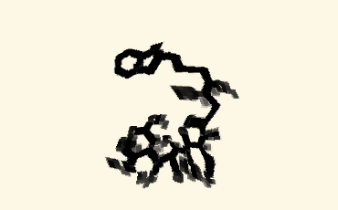 CC[C@H](NC(=O)C[C@H](O)[C@H](C)CCCc1cn2c(n1)CCCC2)C(=O)N(C)[C@H](C)C(=O)N(C)[C@@H](CC(C)C)C(N)=O